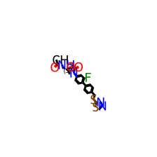 CC(=O)NC[C@H]1CN(c2ccc(-c3ccc(CSc4nncs4)cc3)c(F)c2)C(=O)O1